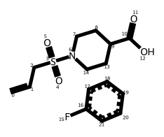 C=CCS(=O)(=O)N1CCC(C(=O)O)CC1.Fc1ccccc1